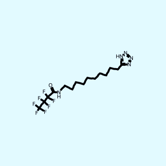 O=C(NCCCCCCCCCCc1nnn[nH]1)C(F)(F)C(F)(F)C(F)(F)F